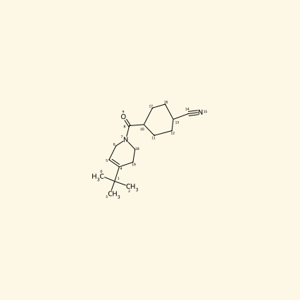 CC(C)(C)C1=CCN(C(=O)C2CCC(C#N)CC2)CC1